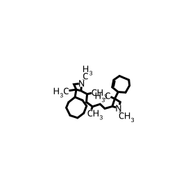 CC(CCC1N(C)CC1(C)C1C=CCCCC1)CC(C)C1N(C)CC1(C)C1CCCCCCC1